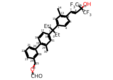 CCC(CC)(c1ccc(/C=C/C(O)(C(F)(F)F)C(F)(F)F)c(C)c1)c1ccc(-c2cccc(COC=O)c2)c(C)c1